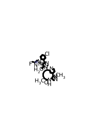 CC1CCCC(n2cnc(-c3cc(Cl)ccc3N(N)/C=C(\N)CF)cc2=O)c2cc(ccn2)-c2c(cnn2C)NC1=O